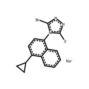 [Na+].[S-]c1nnc(Br)n1-c1ccc(C2CC2)c2ccccc12